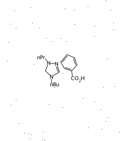 CCCCN1C=NN(CCC)C1.O=C(O)c1ccccc1